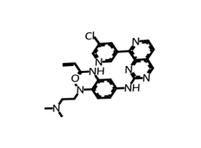 C=CC(=O)Nc1cc(Nc2ncc3ccnc(-c4cncc(Cl)c4)c3n2)ccc1N(C)CCN(C)C